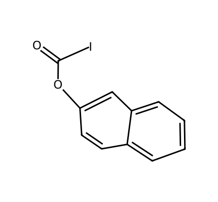 O=C(I)Oc1ccc2ccccc2c1